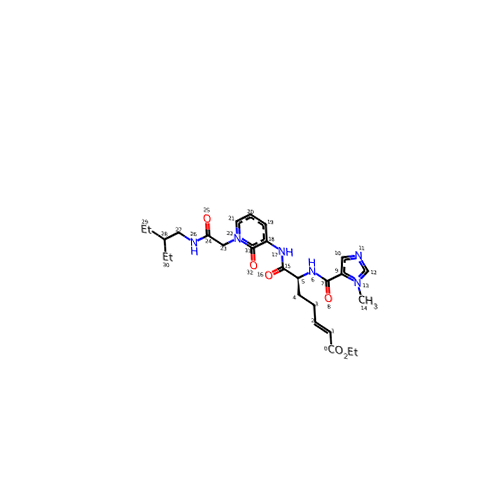 CCOC(=O)/C=C/CC[C@H](NC(=O)c1cncn1C)C(=O)Nc1cccn(CC(=O)NCC(CC)CC)c1=O